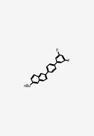 CCCCc1ccc2cc(-c3ccc(-c4cc(F)cc(F)c4)cc3)ccc2c1